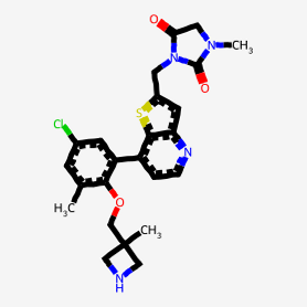 Cc1cc(Cl)cc(-c2ccnc3cc(CN4C(=O)CN(C)C4=O)sc23)c1OCC1(C)CNC1